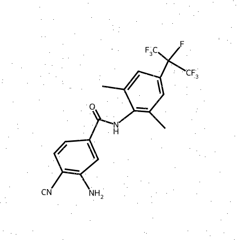 [C-]#[N+]c1ccc(C(=O)Nc2c(C)cc(C(F)(C(F)(F)F)C(F)(F)F)cc2C)cc1N